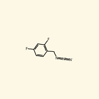 [N-]=[N+]=NCc1ccc(F)cc1F